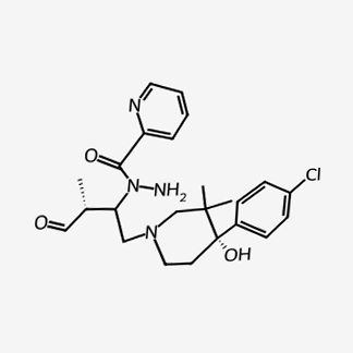 C[C@@H](C=O)C(CN1CC[C@](O)(c2ccc(Cl)cc2)C(C)(C)C1)N(N)C(=O)c1ccccn1